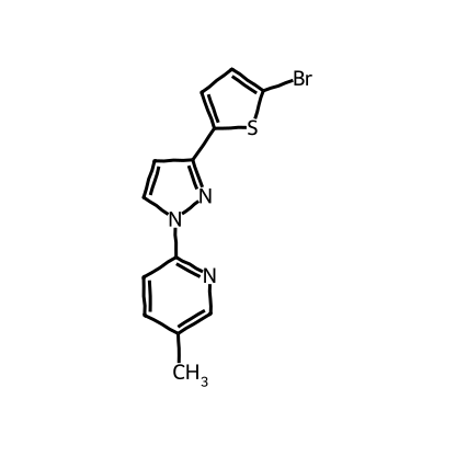 Cc1ccc(-n2ccc(-c3ccc(Br)s3)n2)nc1